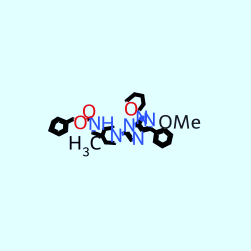 COc1ccccc1-c1nn(C2CCCCO2)c2nc(N3CCC(C)(CNC(=O)OCc4ccccc4)CC3)cnc12